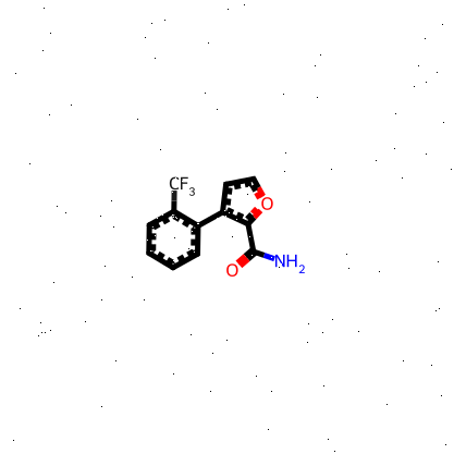 NC(=O)c1occc1-c1ccccc1C(F)(F)F